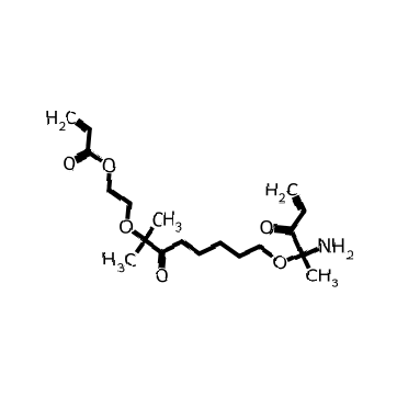 C=CC(=O)OCCOC(C)(C)C(=O)CCCCCOC(C)(N)C(=O)C=C